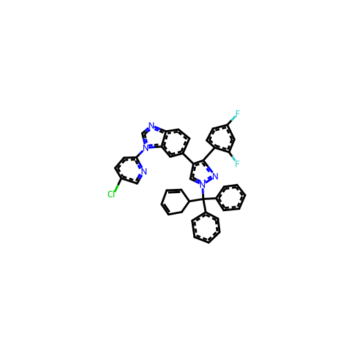 Fc1ccc(-c2nn(C(c3ccccc3)(c3ccccc3)C3C=CC=CC3)cc2-c2ccc3ncn(-c4ccc(Cl)cn4)c3c2)c(F)c1